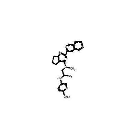 COc1ccc(NC(O)CN(C)c2nc(-c3cc4cnccc4cn3)nc3c2CCC3)cn1